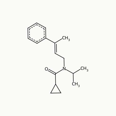 C/C(=C\CN(C(=O)C1CC1)C(C)C)c1ccccc1